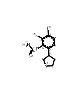 Fc1ccc(C2CCNC2)c(F)c1F.NC=S